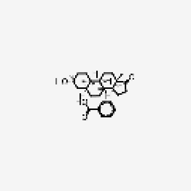 C[C@]12CC[C@@H](O)C[C@@H]1CC[C@@H]1[C@@H]2CC[C@]2(C)C(=O)CC[C@@H]12.O=C(O)c1ccccc1